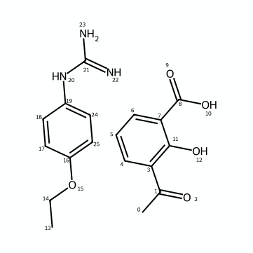 CC(=O)c1cccc(C(=O)O)c1O.CCOc1ccc(NC(=N)N)cc1